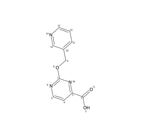 O=C(O)c1ccnc(OCc2cccnc2)n1